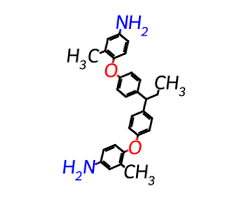 CCC(c1ccc(Oc2ccc(N)cc2C)cc1)c1ccc(Oc2ccc(N)cc2C)cc1